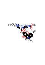 COc1ccc2c3c1O[C@H]1C(OC(=O)[C@H](Cc4cn(C(=O)O)cn4)NC(=O)CCNC(=O)OC(C)(C)C)=CC[C@@]4(O)[C@@H](C2)N(C)CC[C@]314